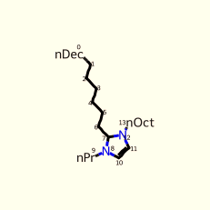 CCCCCCCCCCCCCCCCC1N(CCC)C=CN1CCCCCCCC